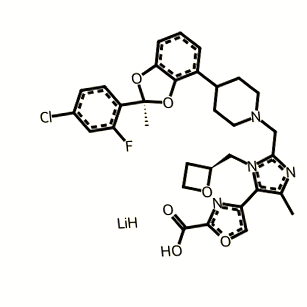 Cc1nc(CN2CCC(c3cccc4c3O[C@@](C)(c3ccc(Cl)cc3F)O4)CC2)n(C[C@@H]2CCO2)c1-c1coc(C(=O)O)n1.[LiH]